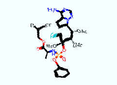 CCC(CC)COC(=O)[C@H](C)NP(=O)(Oc1ccccc1)O[C@@](CF)(OC)[C@@H](OC(C)=O)[C@@H](OC(C)=O)c1ccc2c(N)ncnn12